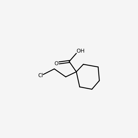 O=C(O)C1(CCCl)CCCCC1